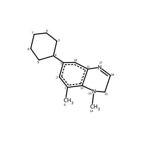 Cc1cc(C2CCCCC2)cc2c1N(C)CC=N2